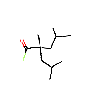 CC(C)CC(C)(CC(C)C)C(=O)F